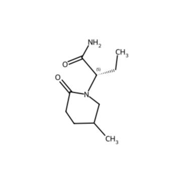 CC[C@@H](C(N)=O)N1CC(C)CCC1=O